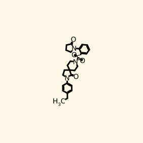 CCc1ccc(N2CCC3(CCN(S(=O)(=O)c4ccccc4N4CCCC4=O)CC3)C2=O)cc1